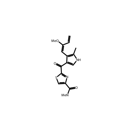 C=C/C(=C\c1c(C(=O)c2nc(C(=O)NC)cs2)c[nH]c1C)OC